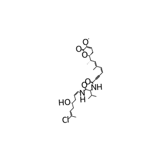 COC1=CC[C@@H]([C@@H](C)/C=C(C)/C=C\C#CC(=O)N[C@H](C(=O)N/C=C\C[C@@H](O)C/C=C(\C)Cl)C(C)C)OC1=O